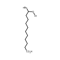 CCCCC(CCCCCCCCCC(=O)O)OCC